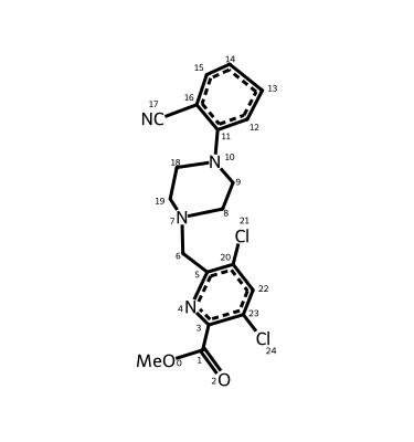 COC(=O)c1nc(CN2CCN(c3ccccc3C#N)CC2)c(Cl)cc1Cl